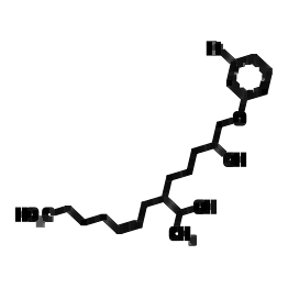 CCc1cccc(OCC(O)CCCC(C/C=C\CCCC(=O)O)C(C)O)c1